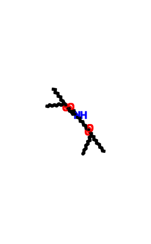 CCCCCCCCCC(CCCCCCCCC)COC(=O)CCCCCCCNC1CC(CC(=O)OCC(CCCCCCCC)CCCCCCCC)C1